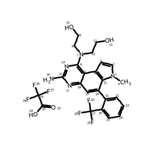 Cn1ccc2c3c(N(CCO)CCO)nc(N)nc3cc(-c3ccccc3C(F)(F)F)c21.O=C(O)C(F)(F)F